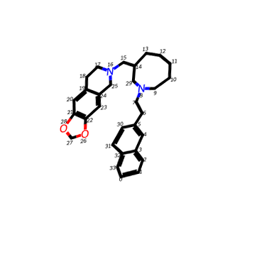 c1ccc2cc(CCN3CCCCCC(CN4CCc5cc6c(cc5C4)OCO6)C3)ccc2c1